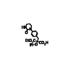 CCOC(=O)C(Cc1ccc(N2CCCNC2=O)cc1)(OC(C)C)C(=O)O